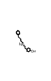 Oc1ccc(CCNCCCCc2ccccc2)cc1